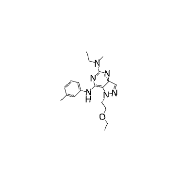 CCOCCn1ncc2nc(N(C)CC)nc(Nc3cccc(C)c3)c21